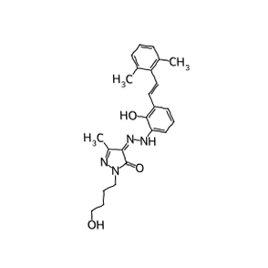 CC1=NN(CCCCO)C(=O)/C1=N\Nc1cccc(/C=C/c2c(C)cccc2C)c1O